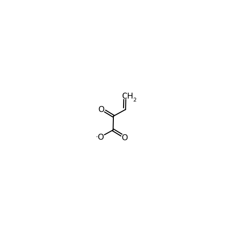 C=CC(=O)C([O])=O